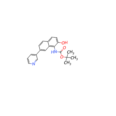 CC(C)(C)OC(=O)Nc1c(O)ccc2ccc(-c3cccnc3)cc12